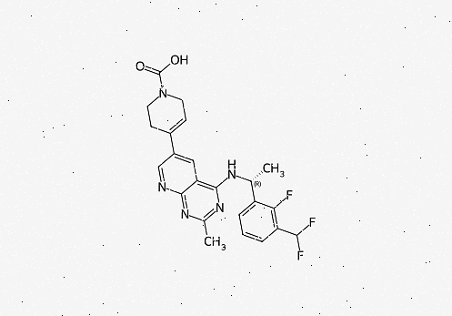 Cc1nc(N[C@H](C)c2cccc(C(F)F)c2F)c2cc(C3=CCN(C(=O)O)CC3)cnc2n1